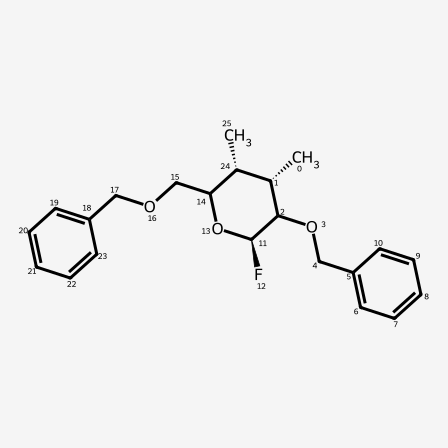 C[C@@H]1C(OCc2ccccc2)[C@@H](F)OC(COCc2ccccc2)[C@@H]1C